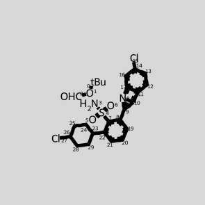 CC(C)(C)OC=O.NS(=O)(=O)c1c(-c2c3c4ccc(Cl)cc4n2-3)cccc1C1CCC(Cl)CC1